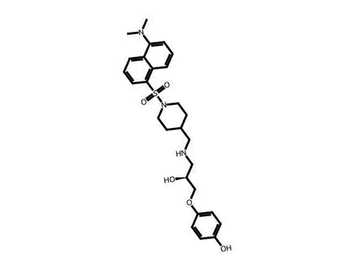 CN(C)c1cccc2c(S(=O)(=O)N3CCC(CNC[C@H](O)COc4ccc(O)cc4)CC3)cccc12